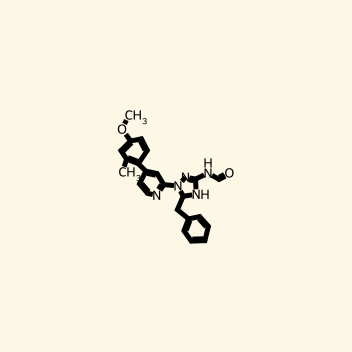 COc1ccc(-c2ccnc(N3N=C(NC=O)NC3Cc3ccccc3)c2)c(C)c1